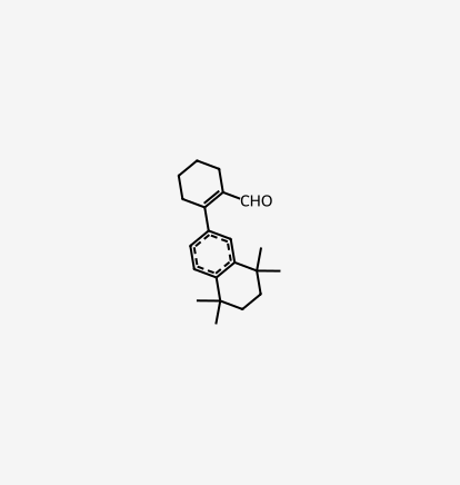 CC1(C)CCC(C)(C)c2cc(C3=C(C=O)CCCC3)ccc21